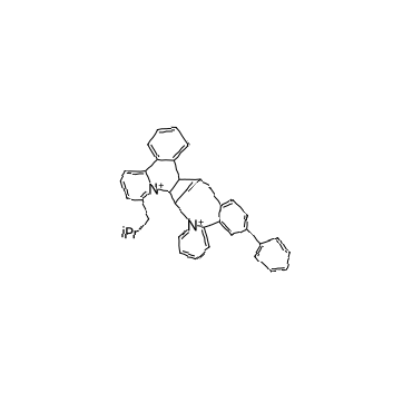 CC(C)Cc1cccc2[n+]1C1C(C3=CC1[n+]1ccccc1-c1cc(-c4ccccc4)ccc1C3)c1ccccc1-2